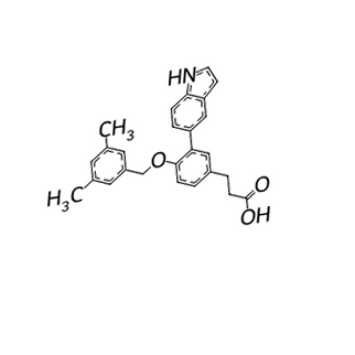 Cc1cc(C)cc(COc2ccc(CCC(=O)O)cc2-c2ccc3[nH]ccc3c2)c1